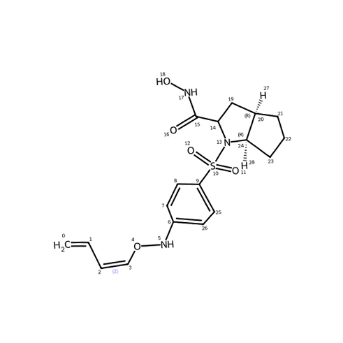 C=C/C=C\ONc1ccc(S(=O)(=O)N2C(C(=O)NO)C[C@H]3CCC[C@H]32)cc1